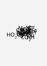 CNC(=O)C(=O)C(CC(F)(F)F)NC(=O)[C@H](CC(C)C)NC(=O)[C@@H](NC(=O)[C@H](Cc1ccccc1C)NC(=O)[C@H](CCC(=O)O)NC(=O)[C@H](CC(=O)O)NC(=O)CCC(=O)O)C(C)(C)C